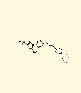 Nc1nc(N)n(-c2ccc(CCCN3CCC(N4CCCCC4)CC3)nc2)n1